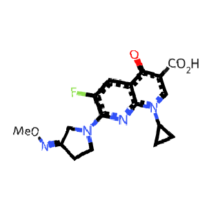 CO/N=C1/CCN(c2nc3c(cc2F)c(=O)c(C(=O)O)cn3C2CC2)C1